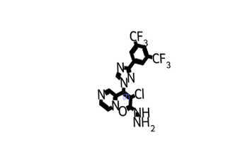 NNC(=O)/C(Cl)=C(\c1cnccn1)n1cnc(-c2cc(C(F)(F)F)cc(C(F)(F)F)c2)n1